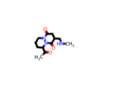 CNCC1CC(=O)N2CCCC(C(C)=O)N2C1=O